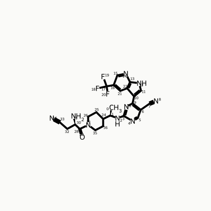 C[C@@H](Nc1ncc(C#N)c(-c2c[nH]c3ncc(C(F)(F)F)cc23)n1)C1CCN(C(=O)[C@H](N)CC#N)CC1